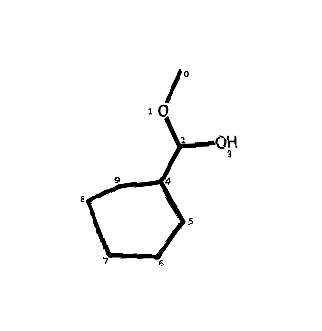 COC(O)C1CCCCC1